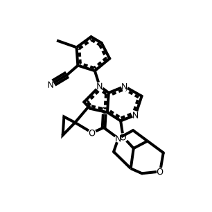 Cc1cccc(-n2ccc3c(OC4C5COCC4CN(C(=O)OC4(C)CC4)C5)ncnc32)c1C#N